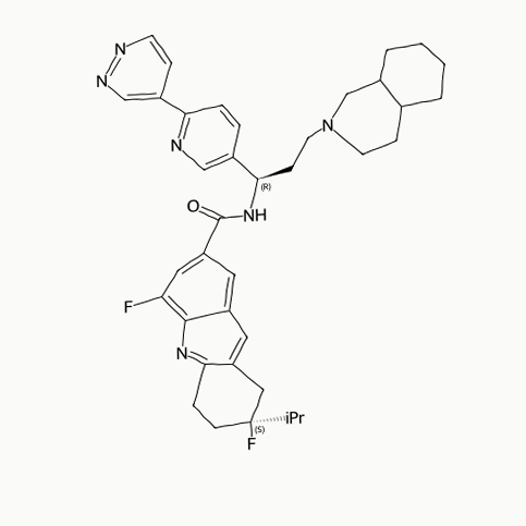 CC(C)[C@]1(F)CCc2nc3c(F)cc(C(=O)N[C@H](CCN4CCC5CCCCC5C4)c4ccc(-c5ccnnc5)nc4)cc3cc2C1